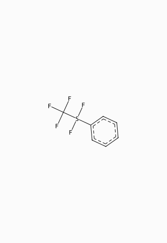 FC(F)(F)S(F)(F)c1ccccc1